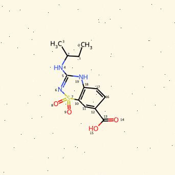 CCC(C)NC1=NS(=O)(=O)c2cc(C(=O)O)ccc2N1